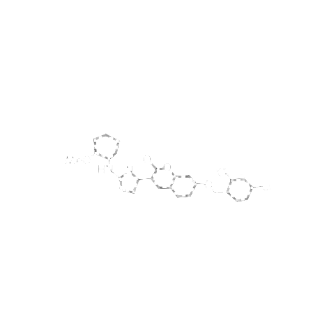 COc1ccccc1Nc1nc(-c2cc3ccc(OCc4ccc(Cl)cc4Cl)cc3oc2=O)cs1